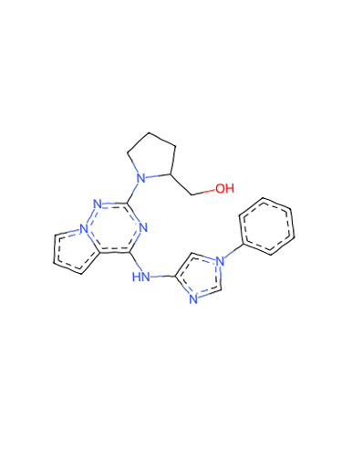 OCC1CCCN1c1nc(Nc2cn(-c3ccccc3)cn2)c2cccn2n1